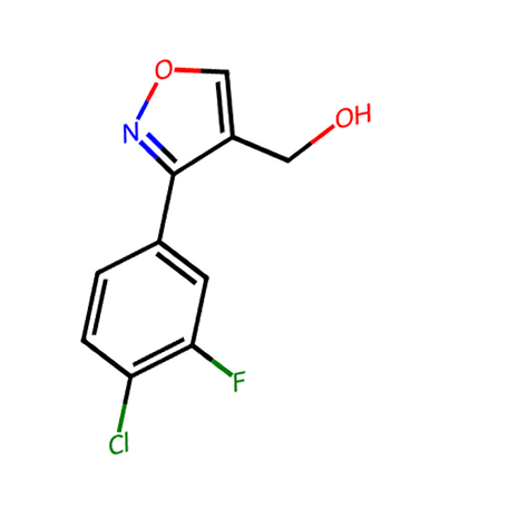 OCc1conc1-c1ccc(Cl)c(F)c1